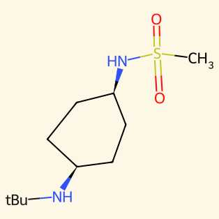 CC(C)(C)N[C@H]1CC[C@@H](NS(C)(=O)=O)CC1